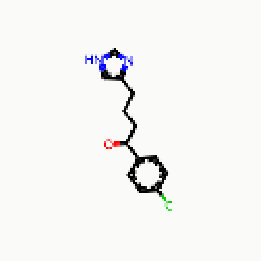 O=C(CCCc1c[nH]cn1)c1ccc(Cl)cc1